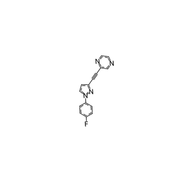 Fc1ccc(-n2ccc(C#Cc3cnccn3)n2)cc1